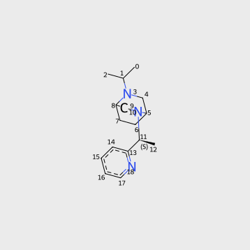 CC(C)N1CC2CCC1CN2[C@@H](C)c1ccccn1